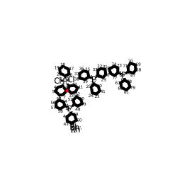 ClP(Cl)(c1ccccc1)(c1ccccc1)c1ccccc1.[Rh].[Rh].c1ccc(P(c2ccccc2)c2ccccc2)cc1.c1ccc(P(c2ccccc2)c2ccccc2)cc1.c1ccc(P(c2ccccc2)c2ccccc2)cc1